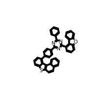 c1ccc(-c2nc(-c3ccc(-c4cccc5sc6ccc7ccccc7c6c45)cc3)nc(-c3cccc4oc5ccccc5c34)n2)cc1